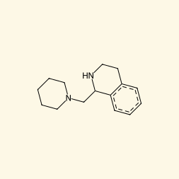 c1ccc2c(c1)CCNC2CN1CCCCC1